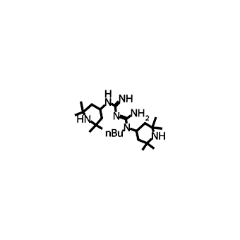 CCCCN(/C(N)=N/C(=N)NC1CC(C)(C)NC(C)(C)C1)C1CC(C)(C)NC(C)(C)C1